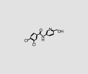 O=C(Nc1ccc(CO)nc1)c1ccc(Cl)c(Cl)c1